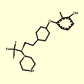 Cc1c(O)cccc1OC1CCC(CC[C@@H](N2CCNCC2)C(F)(F)F)CC1